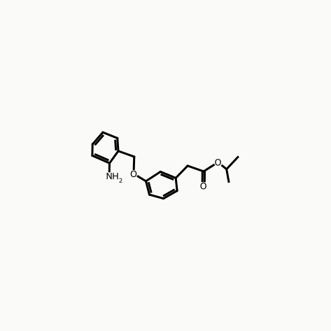 CC(C)OC(=O)Cc1cccc(OCc2ccccc2N)c1